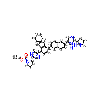 CC(C)(C)OC(=O)N1CCC[C@H]1c1ncc(-c2ccc(-c3ccc4cc(-c5cnc([C@@H]6CCCN6)[nH]5)ccc4c3)c3c2CC2(CCCCC2)C3)[nH]1